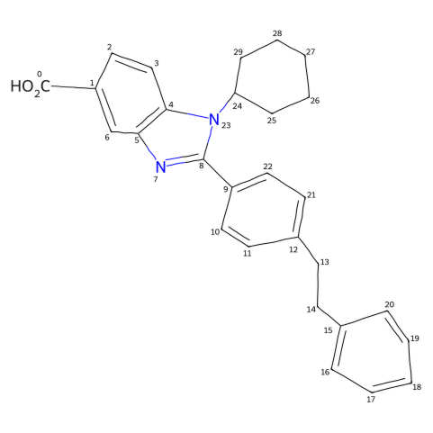 O=C(O)c1ccc2c(c1)nc(-c1ccc(CCc3ccccc3)cc1)n2C1CCCCC1